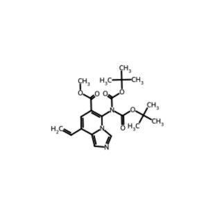 C=Cc1cc(C(=O)OC)c(N(C(=O)OC(C)(C)C)C(=O)OC(C)(C)C)n2cncc12